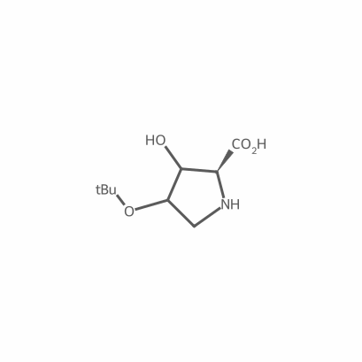 CC(C)(C)OC1CN[C@H](C(=O)O)C1O